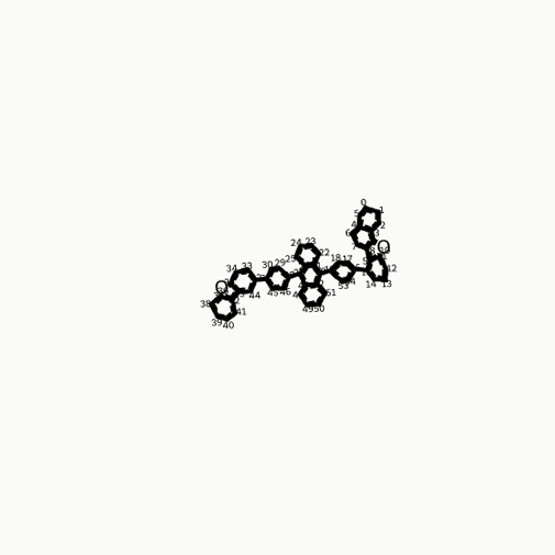 c1ccc2c(c1)ccc1c2oc2cccc(-c3ccc(-c4c5ccccc5c(-c5ccc(-c6ccc7oc8ccccc8c7c6)cc5)c5ccccc45)cc3)c21